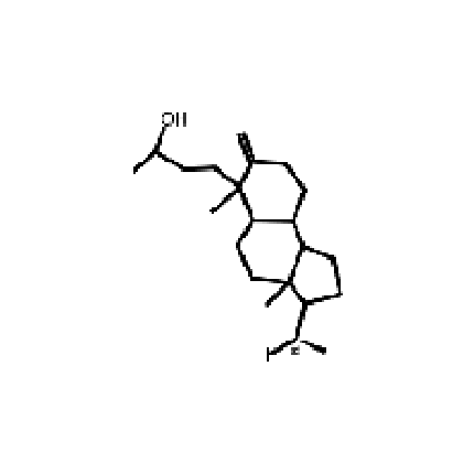 C=C1CCC2C(CCC3(C)C2CCC3[C@@H](C)I)C1(C)CCC(C)O